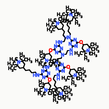 CN1C(C)(C)CC(CCCCNc2nc(NCCN(CCN(CCNc3nc(NCCCCC4CC(C)(C)N(C)C(C)(C)C4)nc(OC4CC(C)(C)N(C)C(C)(C)C4)n3)c3nc(NCCCCC4CC(C)(C)N(C)C(C)(C)C4)nc(OC4CC(C)(C)N(C)C(C)(C)C4)n3)c3nc(NCCCCC4CC(C)(C)N(C)C(C)(C)C4)nc(OC4CC(C)(C)N(C)C(C)(C)C4)n3)nc(OC3CC(C)(C)N(C)C(C)(C)C3)n2)CC1(C)C